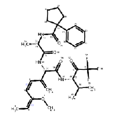 C=C(/C=C\C(=C/C)OC)[C@H](NC(=O)[C@H](C)NC(=O)C1(c2ccccc2)CCCC1)C(=O)N[C@H](C(=O)C(F)(F)F)C(C)C